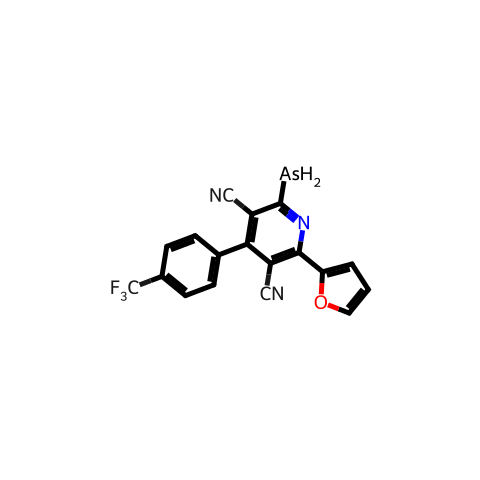 N#Cc1c([AsH2])nc(-c2ccco2)c(C#N)c1-c1ccc(C(F)(F)F)cc1